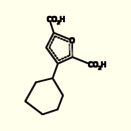 O=C(O)c1cc(C2CCCCC2)c(C(=O)O)o1